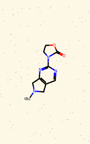 CC(C)(C)N1Cc2cnc(N3CCOC3=O)nc2C1